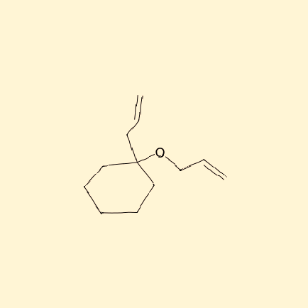 C=CCOC1(CC=C)CCCCC1